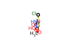 CC(=O)OCC1=C(C(=O)O)N2C(=O)[C@@H](NC(=O)CSc3cccc(Cl)c3)[C@H]2SC1